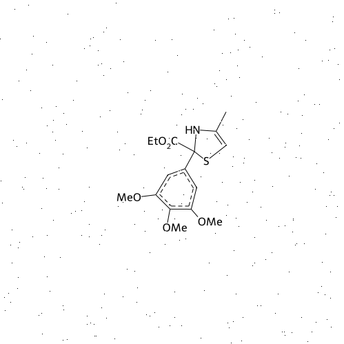 CCOC(=O)C1(c2cc(OC)c(OC)c(OC)c2)NC(C)=CS1